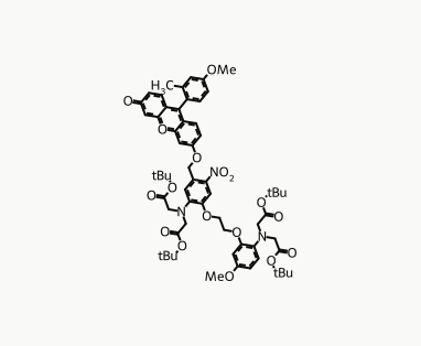 COc1ccc(-c2c3ccc(=O)cc-3oc3cc(OCc4cc(N(CC(=O)OC(C)(C)C)CC(=O)OC(C)(C)C)c(OCCOc5cc(OC)ccc5N(CC(=O)OC(C)(C)C)CC(=O)OC(C)(C)C)cc4[N+](=O)[O-])ccc23)c(C)c1